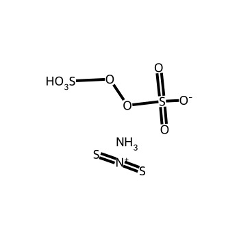 N.O=S(=O)([O-])OOS(=O)(=O)O.S=[N+]=S